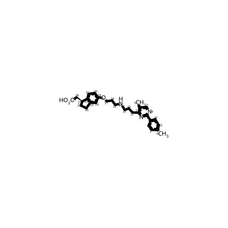 Cc1ccc(-c2ncc(C)c(CCCNCCCOc3ccc4c(c3)CC[C@H]4CC(=O)O)n2)cc1